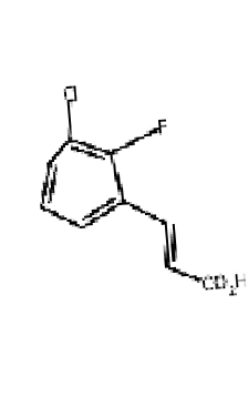 O=C(O)/C=C/c1cccc(Cl)c1F